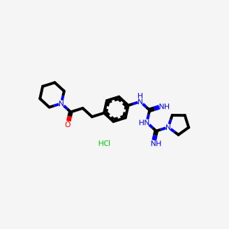 Cl.N=C(NC(=N)N1CCCC1)Nc1ccc(CCC(=O)N2CCCCC2)cc1